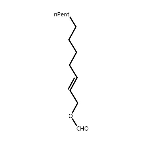 CCCCCCCCCC=CCOC=O